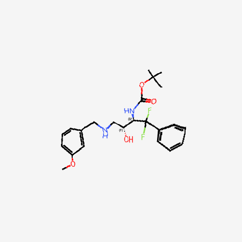 COc1cccc(CNC[C@@H](O)[C@@H](NC(=O)OC(C)(C)C)C(F)(F)c2ccccc2)c1